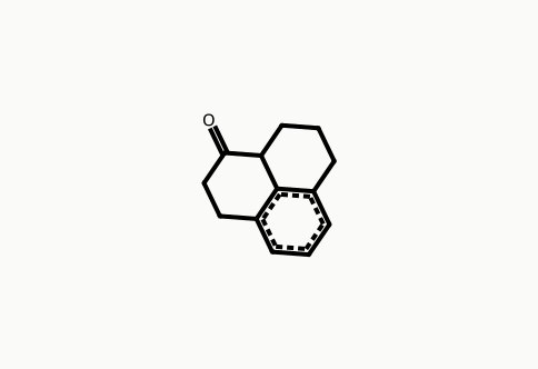 O=C1CCc2cccc3c2C1CCC3